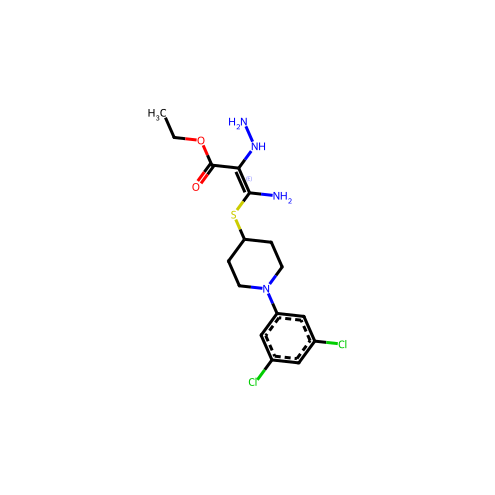 CCOC(=O)/C(NN)=C(/N)SC1CCN(c2cc(Cl)cc(Cl)c2)CC1